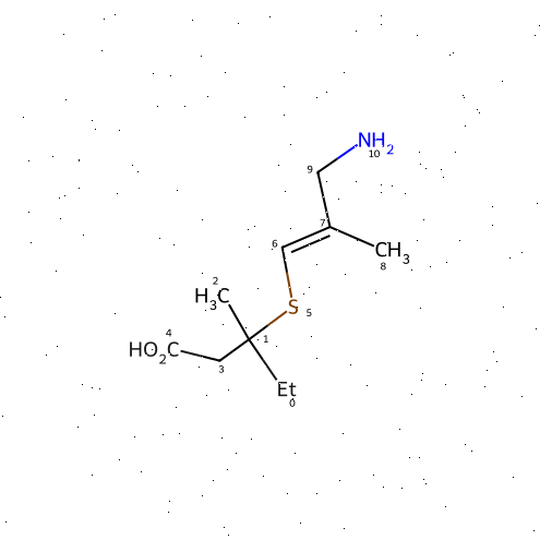 CCC(C)(CC(=O)O)S/C=C(\C)CN